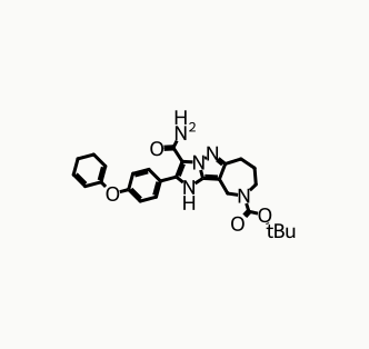 CC(C)(C)OC(=O)N1CCCc2nn3c(C(N)=O)c(-c4ccc(OC5=CCCC=C5)cc4)[nH]c3c2C1